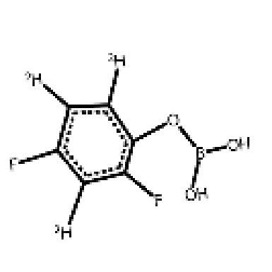 [2H]c1c([2H])c(OB(O)O)c(F)c([2H])c1F